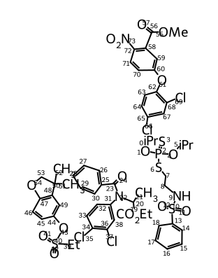 CC(C)OP(=S)(OC(C)C)SCCNS(=O)(=O)c1ccccc1.CCOC(=O)C(C)N(C(=O)c1ccccc1)c1ccc(Cl)c(Cl)c1.CCS(=O)(=O)Oc1ccc2c(c1)C(C)(C)CO2.COC(=O)c1cc(Oc2ccc(Cl)cc2Cl)ccc1[N+](=O)[O-]